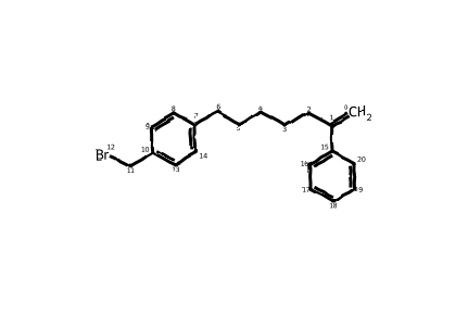 C=C(CCCCCc1ccc(CBr)cc1)c1ccccc1